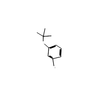 CC(C)(C)Nc1cccc(N)c1